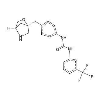 O=C(Nc1ccc(C[C@@]23CN[C@@H](CO2)C3)cc1)Nc1cccc(C(F)(F)F)c1